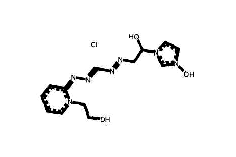 OCCn1ccccc1=NN=CN=NCC(O)[n+]1ccn(O)c1.[Cl-]